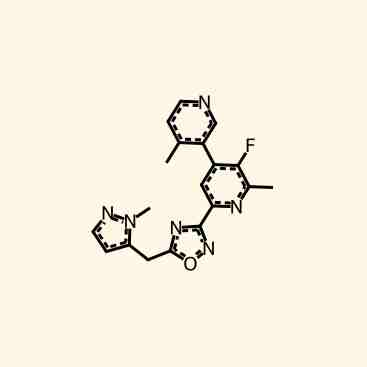 Cc1ccncc1-c1cc(-c2noc(Cc3ccnn3C)n2)nc(C)c1F